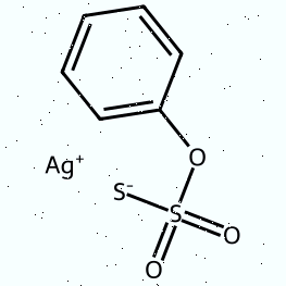 O=S(=O)([S-])Oc1ccccc1.[Ag+]